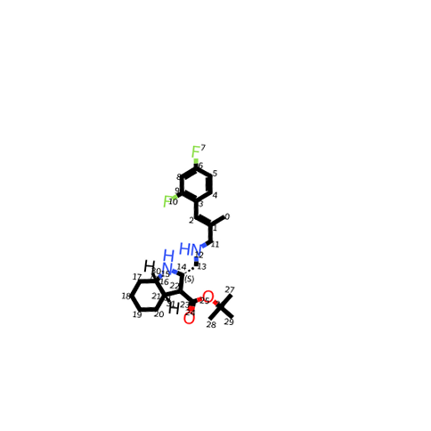 CC(=Cc1ccc(F)cc1F)CNC[C@H]1N[C@H]2CCCC[C@H]2C1C(=O)OC(C)(C)C